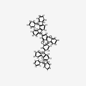 c1ccc(-n2c3ccccc3c3ccc4c(c5ccccc5n4-c4ccc5c(c4)Oc4cc(-n6c7ccccc7c7c6ccc6c8ccccc8n(-c8ccccc8)c67)cc6c4B5c4ccccc4O6)c32)cc1